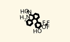 N/C(=N\O)c1cccc(-c2ccc(O)c(OC(F)(F)F)c2)c1-c1ccccc1